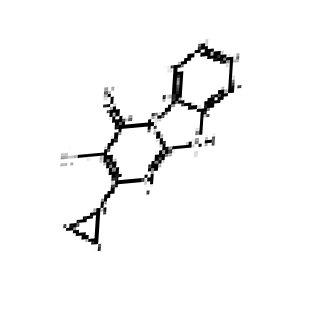 CCc1c(C2CC2)nc2[nH]c3ccccc3n2c1=O